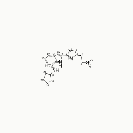 CN(C)CC[C@@H]1CSC(c2cc3cccc(NC4CCCC4)c3[nH]2)=N1